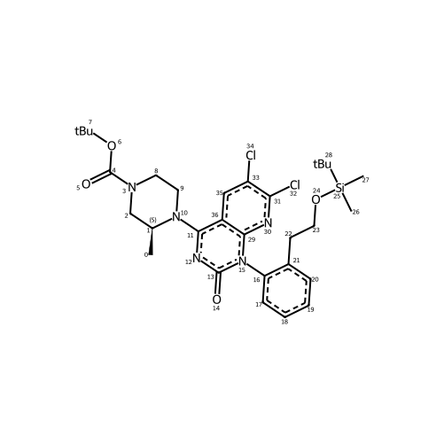 C[C@H]1CN(C(=O)OC(C)(C)C)CCN1c1nc(=O)n(-c2ccccc2CCO[Si](C)(C)C(C)(C)C)c2nc(Cl)c(Cl)cc12